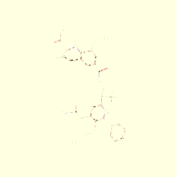 CCOc1c(CC(N)=O)cc([C@@](O)(CNC(=O)c2cc(OC)c3nc(C(=O)O)c(C)cc3c2)C(F)(F)F)nc1-c1ccc(F)cc1